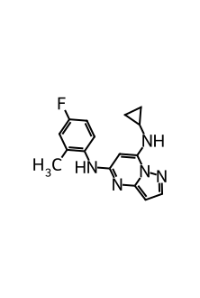 Cc1cc(F)ccc1Nc1cc(NC2CC2)n2nccc2n1